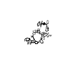 CCn1c(-c2cccnc2C(C)C)c2c3cc(ccc31)N1CCC[C@@H](C[C@H](NC(=O)[C@H](C(C)C)N(C)C(=O)[C@H]3CCN(C(=O)C#CC(C)(C)N4CCC4)C3)C(=O)N3CCC[C@H](N3)C(=O)OCC(C)(C)C2)C1